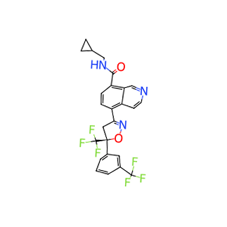 O=C(NCC1CC1)c1ccc(C2=NO[C@@](c3cccc(C(F)(F)F)c3)(C(F)(F)F)C2)c2ccncc12